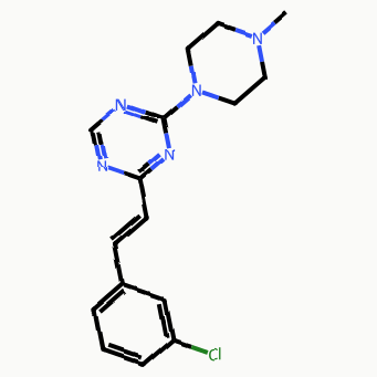 CN1CCN(c2ncnc(C=Cc3cccc(Cl)c3)n2)CC1